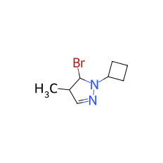 CC1C=NN(C2CCC2)C1Br